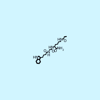 C=CC(=O)NCCCCC(NC(=O)CNC(=O)CCCc1c[nH]c2ccccc12)C(N)=O